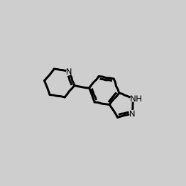 c1cc2[nH]ncc2cc1C1=NCCCC1